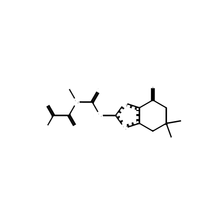 CN(C(=O)Nc1nc2c(s1)C(=O)CC(C)(C)C2)C(=O)C(=O)O